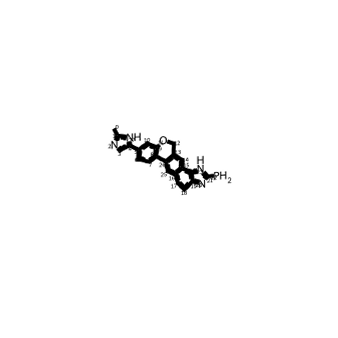 Cc1ncc(-c2ccc3c(c2)OCc2cc4c(ccc5nc(P)[nH]c54)cc2-3)[nH]1